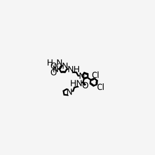 Nc1nc(NCCCn2ccc(-c3ccc(Cl)cc3Cl)c2C(=O)NCCCN2CCCC2)ccc1[N+](=O)[O-]